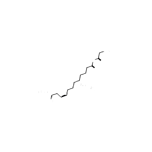 CCCCCCCCCCCC(=O)OC(=O)CCCCCCC/C=C\C[C@H](O)CCCCCC.[CaH2].[NaH]